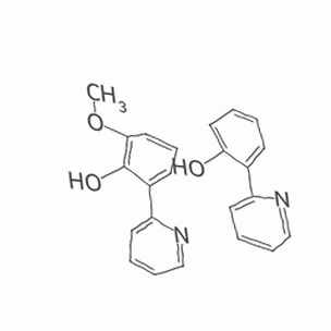 COc1cccc(-c2ccccn2)c1O.Oc1ccccc1-c1ccccn1